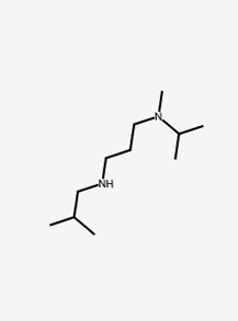 CC(C)CNCCCN(C)C(C)C